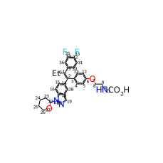 CC/C(=C(/c1ccc(OCCNC(=O)O)cc1)c1ccc2c(cnn2C2CCCCO2)c1)c1ccc(F)c(F)c1